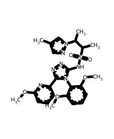 COc1cccc(-c2nnc(NS(=O)(=O)C(C)C(C)n3cc(C)cn3)n2-c2c(OC)cccc2OC)n1